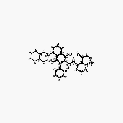 C[C@H](Nc1ncnc2[nH]ccc(=O)c12)c1c(Cl)c2cccc(N3CCC4CCCCC4C3)c2c(=O)n1-c1ccccc1